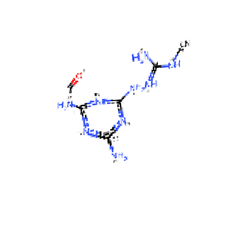 C=O.N#CNC(=N)N.Nc1nc(N)nc(N)n1